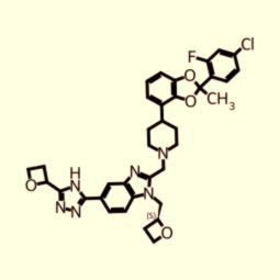 CC1(c2ccc(Cl)cc2F)Oc2cccc(C3CCN(Cc4nc5cc(-c6nnc(C7CCO7)[nH]6)ccc5n4C[C@@H]4CCO4)CC3)c2O1